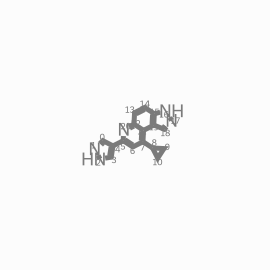 c1n[nH]cc1-c1cc(C2CC2)c2c(ccc3[nH]ncc32)n1